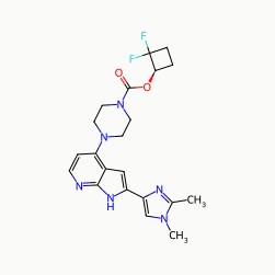 Cc1nc(-c2cc3c(N4CCN(C(=O)O[C@@H]5CCC5(F)F)CC4)ccnc3[nH]2)cn1C